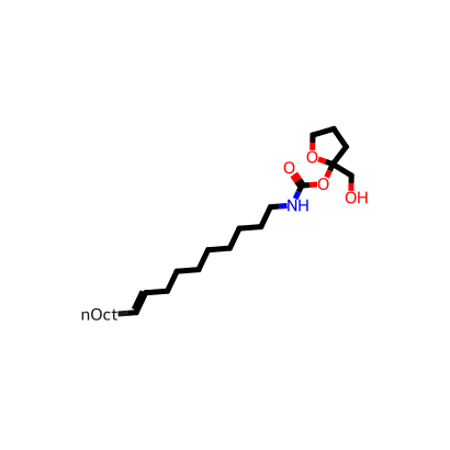 CCCCCCCCC=CCCCCCCCCNC(=O)OC1(CO)CCCO1